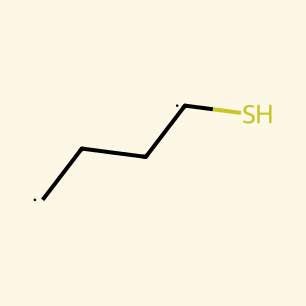 [CH2]CC[CH]S